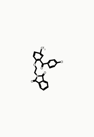 O=C(c1ccc(Cl)cc1)c1cc(C(F)(F)F)ccc1OCCN1C(=O)c2ccccc2C1=O